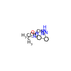 Cn1c(=O)n(CC(C)(C)C)c2ccc(-c3ccccc3-c3nn[nH]n3)cc21